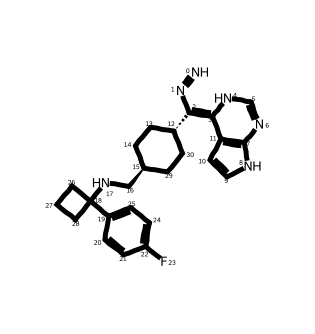 N=N/C(=C1\NC=Nc2[nH]ccc21)[C@H]1CC[C@H](CNC2(c3ccc(F)cc3)CCC2)CC1